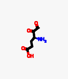 N[C@@H](CCC(=O)O)C(=O)[C]=O